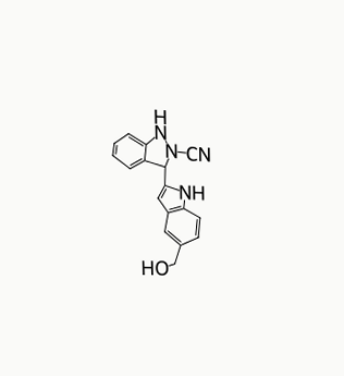 N#CN1Nc2ccccc2C1c1cc2cc(CO)ccc2[nH]1